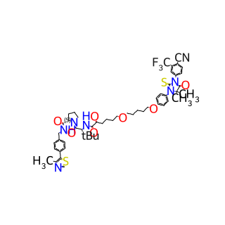 Cc1ncsc1-c1ccc(CNC(=O)[C@@H]2CCCN2C(=O)C(NC(=O)C(=O)CCCCOCCCCCOc2ccc(N3C(=S)N(c4ccc(C#N)c(C(F)(F)F)c4)C(=O)C3(C)C)cc2)C(C)(C)C)cc1